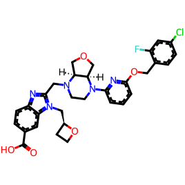 O=C(O)c1ccc2nc(CN3CCN(c4cccc(OCc5ccc(Cl)cc5F)n4)[C@@H]4COC[C@@H]43)n(C[C@@H]3CCO3)c2c1